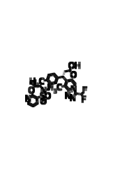 Cc1ccc([C@H](CC(=O)O)c2ccn3c(C(F)F)nnc3c2C)cc1CN1CC2(CC2)Oc2ncccc2S1(=O)=O